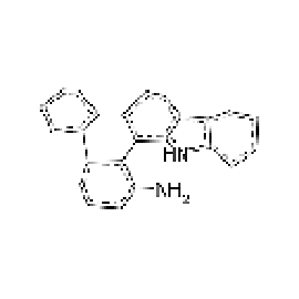 Nc1cccc(-c2ccccc2)c1-c1cccc2c1[nH]c1ccccc12